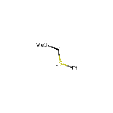 [CH2]OCSCC